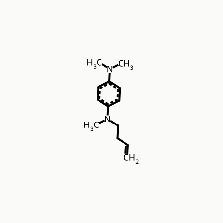 C=CCCN(C)c1ccc(N(C)C)cc1